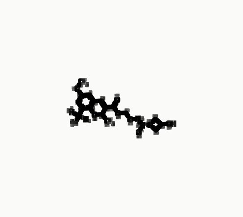 [2H]C([2H])([2H])c1cc(OC(F)(F)F)cc2c1OC(C(F)(F)F)C(C(=O)OCON=[N+]([O-])N1CC(O)C1)=C2